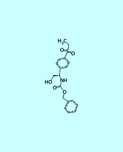 CCS(=O)(=O)c1ccc([C@H](CO)NC(=O)OCc2ccccc2)cc1